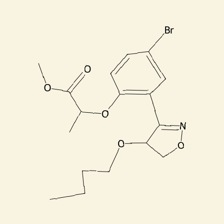 CCCCOC1CON=C1c1cc(Br)ccc1OC(C)C(=O)OC